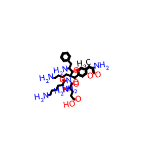 Cc1c(N)c(=O)oc2cc(C(=O)C(CCCCN)(C(=O)C(N)Cc3ccccc3)N(C(=O)C(N)CCCCN)C(=O)C(N)CCC(=O)O)ccc12